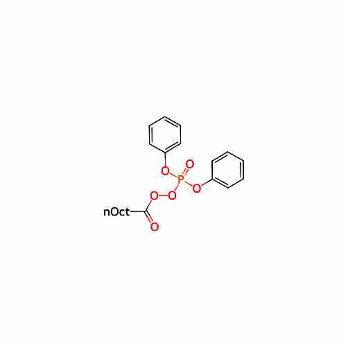 CCCCCCCCC(=O)OOP(=O)(Oc1ccccc1)Oc1ccccc1